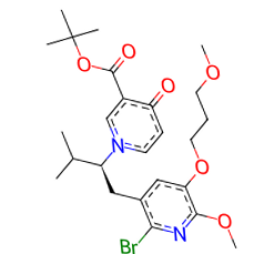 COCCCOc1cc(C[C@@H](C(C)C)n2ccc(=O)c(C(=O)OC(C)(C)C)c2)c(Br)nc1OC